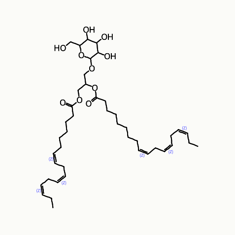 CC/C=C\C/C=C\C/C=C\CCCCCCCC(=O)OC(COC(=O)CCCCC/C=C\C/C=C\C/C=C\CC)COC1OC(CO)C(O)C(O)C1O